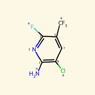 Nc1nc(F)c(C(F)(F)F)cc1Cl